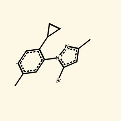 Cc1[c]cc(C2CC2)c(-n2nc(C)cc2Br)c1